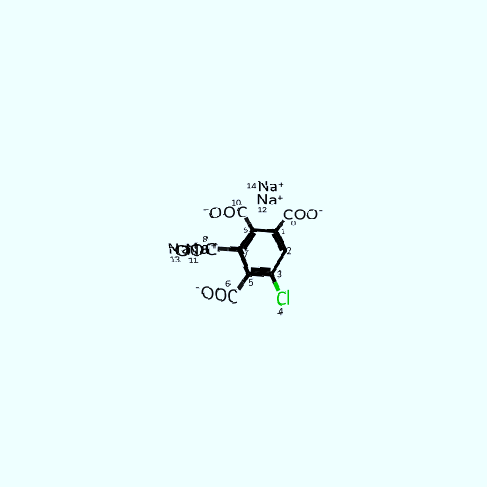 O=C([O-])c1cc(Cl)c(C(=O)[O-])c(C(=O)[O-])c1C(=O)[O-].[Na+].[Na+].[Na+].[Na+]